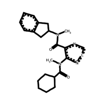 CN(C(=O)C1CCCCC1)c1nccnc1C(=O)N(C)C1Cc2ccccc2C1